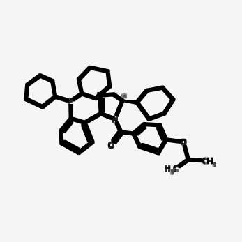 CC(C)Oc1ccc(C(=O)N2C(c3ccccc3P(C3CCCCC3)C3CCCCC3)=NC[C@H]2C2CCCCC2)cc1